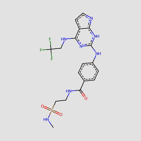 CNS(=O)(=O)CCNC(=O)c1ccc(Nc2nc(NCC(F)(F)F)c3ccnc-3[nH]2)cc1